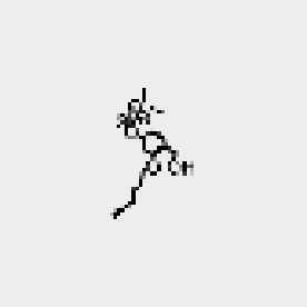 C#CCCCCOc1cc(OP(=O)(OCC)OCC)ccc1CO